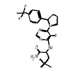 CC(C)(C)CC(Nc1ncnc(N2CCCC2c2ccc(C(C)(F)F)cc2)c1F)C(N)=O